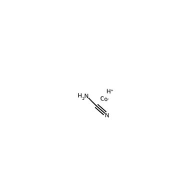 N#CN.[Co].[H+]